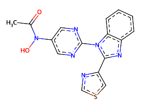 CC(=O)N(O)c1cnc(-n2c(-c3cscn3)nc3ccccc32)nc1